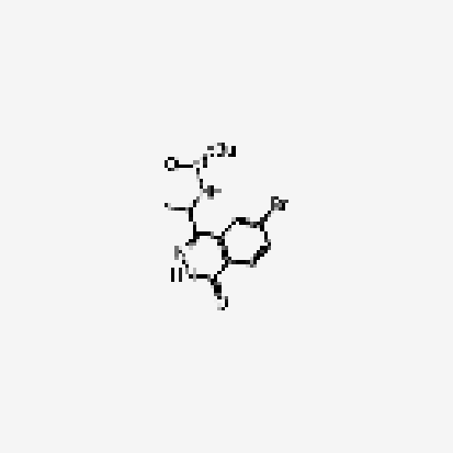 C[C@@H](N[S+]([O-])C(C)(C)C)c1n[nH]c(=O)c2ccc(Br)cc12